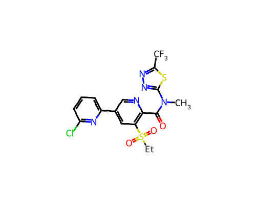 CCS(=O)(=O)c1cc(-c2cccc(Cl)n2)cnc1C(=O)N(C)c1nnc(C(F)(F)F)s1